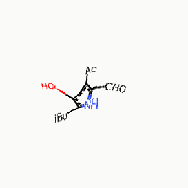 CCC(C)c1[nH]c(C=O)c(C(C)=O)c1O